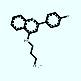 CCOC(=O)CCCNc1cc(-c2ccc(Br)cc2)nc2ccccc12